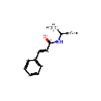 CCCCCCCCCC(NC(=O)C=Cc1ccccc1)C(=O)O